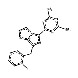 Nc1nc(N)nc(-c2nn(Cc3ccccc3F)c3nccn23)n1